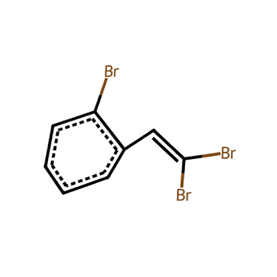 BrC(Br)=Cc1ccccc1Br